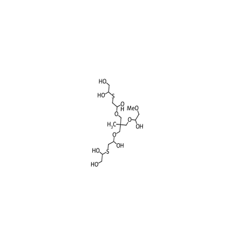 COCC(O)OCC(C)(COC(O)CSC(O)CO)COC(O)CSC(O)CO